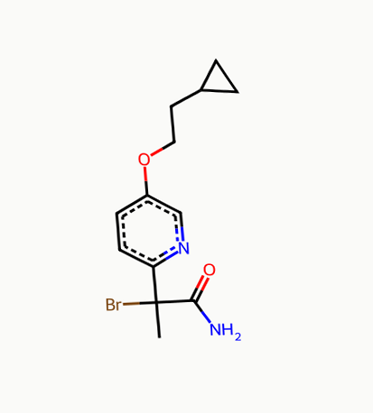 CC(Br)(C(N)=O)c1ccc(OCCC2CC2)cn1